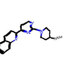 CNC1CCN(c2nccc(-c3ccc4ccccc4n3)n2)CC1